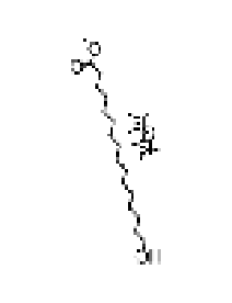 COC(=O)CCCCCCCCCCCCCCCO.C[Si](C)(C)O[Si](C)(C)C